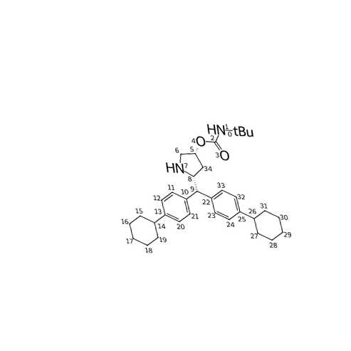 CC(C)(C)NC(=O)O[C@H]1CN[C@@H](C(c2ccc(C3CCCCC3)cc2)c2ccc(C3CCCCC3)cc2)C1